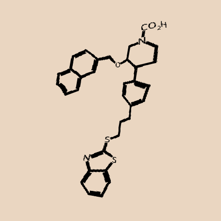 O=C(O)N1CCC(c2ccc(CCCSc3nc4ccccc4s3)cc2)C(OCc2ccc3ccccc3c2)C1